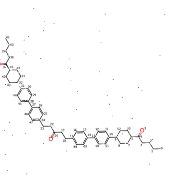 CCCCC(=O)C1CCC(c2ccc(-c3ccc(CCC(=O)CCc4ccc(-c5ccc([C@H]6CC[C@H](C(=O)CCCC)CC6)cc5)cc4)cc3)cc2)CC1